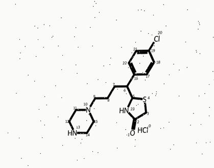 Cl.O=C1CSC(C(CCCN2CCNCC2)c2ccc(Cl)cc2)N1